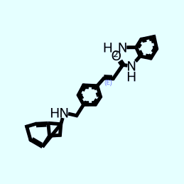 Nc1ccccc1NC(=O)/C=C/c1ccc(CNC23CC4C2=CCC=C43)cc1